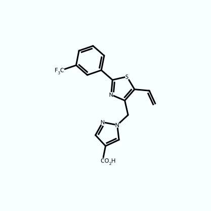 C=Cc1sc(-c2cccc(C(F)(F)F)c2)nc1Cn1cc(C(=O)O)cn1